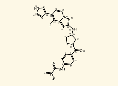 C=C(F)C(=O)Nc1ccc(C(=O)N2CC[C@@H](Nc3nc4c(C)c(-c5cn[nH]c5)ccn4n3)C2)cc1